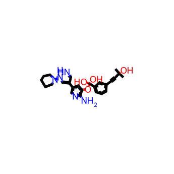 CC(C)(O)C#Cc1cccc(C(O)(O)Oc2cc(/C(C=N)=C/NN3CCCCC3)cnc2N)c1